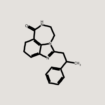 CC(Cc1nc2c3n1CCNC(=O)C=3CCC=2)c1ccccc1